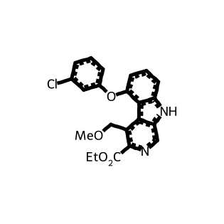 CCOC(=O)c1ncc2[nH]c3cccc(Oc4cccc(Cl)c4)c3c2c1COC